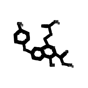 COC(=O)c1nc(COC(C)=O)c2cc(Oc3ccc(C)cc3)ccc2c1O